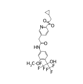 COc1cc(NC(=O)Cc2ccc(S(=O)(=O)CC3CC3)nc2)ccc1C(O)(C(F)(F)F)C(F)(F)F